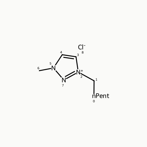 CCCCCC[n+]1ccn(C)n1.[Cl-]